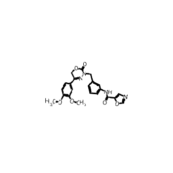 COc1ccc(C2=NN(Cc3cccc(NC(=O)c4cnco4)c3)C(=O)OC2)cc1OC